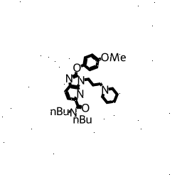 CCCCN(CCCC)C(=O)c1ccc2nc(Oc3ccc(OC)cc3)n(CCCN3CCCCC3)c2n1